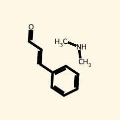 CNC.O=CC=Cc1ccccc1